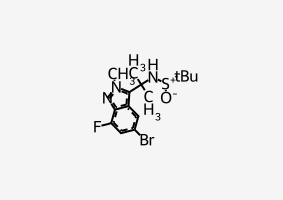 Cn1nc2c(F)cc(Br)cc2c1C(C)(C)N[S+]([O-])C(C)(C)C